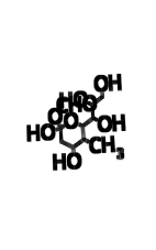 CC1C(O)CC(O)(OC=O)OC1C(O)C(O)CO